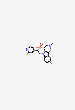 Cc1ccc2c(c1)c1c3n2CC(c2ccnc(C)c2)S(=O)(=O)C3CN(C)C1